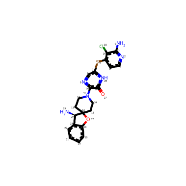 Nc1nccc(Sc2cnc(N3CCC4(CC3)Oc3ccccc3[C@H]4N)c(=O)[nH]2)c1Cl